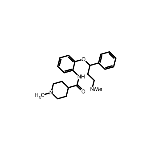 CNCCC(Oc1ccccc1NC(=O)C1CCN(C)CC1)c1ccccc1